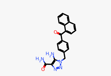 NC(=O)c1nnn(Cc2ccc(C(=O)c3cccc4ccccc34)cc2)c1N